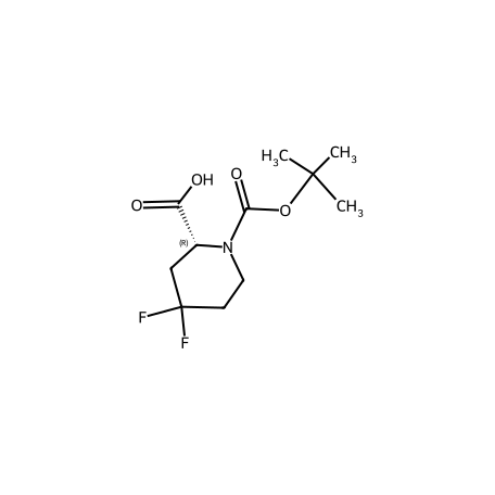 CC(C)(C)OC(=O)N1CCC(F)(F)C[C@@H]1C(=O)O